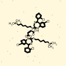 CN(C)CCCCCCSC1(OC(=O)/C=C\C(=O)OC2(SCCCCCCN(C)C)CN=C(c3ccccc3Cl)c3cc(Cl)ccc3N2)CN=C(c2ccccc2Cl)c2cc(Cl)ccc2N1